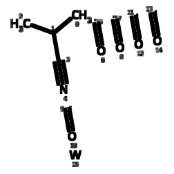 CC(C)C#N.[C]=O.[C]=O.[C]=O.[C]=O.[C]=O.[W]